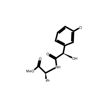 COC(=O)[C@@H](NC(=O)[C@H](O)c1cccc(Cl)c1)C(C)C